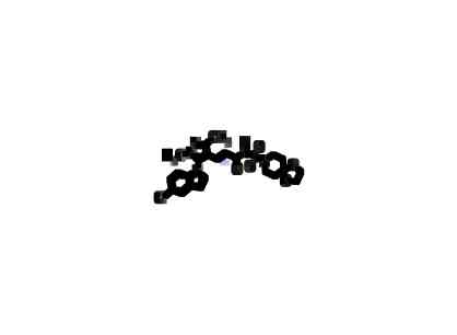 Cc1nn(C)c(-n2ccc3cc(Cl)ccc32)c1/C=C/C(=O)NS(=O)(=O)N1CCC2(CC1)OCCO2